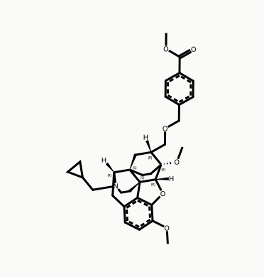 COC(=O)c1ccc(COC[C@H]2C[C@@]34CC[C@]2(OC)[C@@H]2Oc5c(OC)ccc6c5[C@@]23CCN(CC2CC2)[C@@H]4C6)cc1